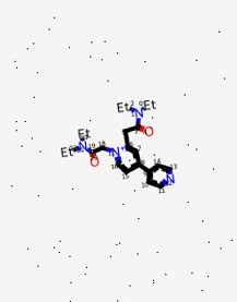 CCN(CC)C(=O)Cc1cc(-c2ccncc2)cc[n+]1CC(=O)N(CC)CC